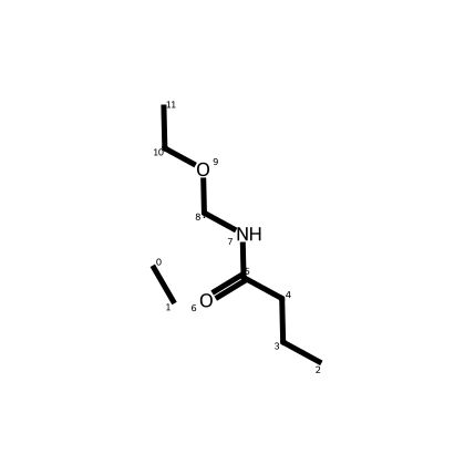 CC.CCCC(=O)N[CH]OCC